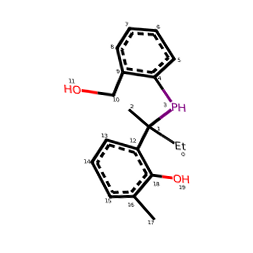 CCC(C)(Pc1ccccc1CO)c1cccc(C)c1O